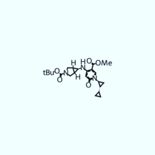 COC(=O)c1cn([C@H]2C[C@@H]2C2CC2)c(=O)cc1N[C@H]1[C@@H]2CN(C(=O)OC(C)(C)C)C[C@@H]21